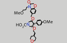 COCCCN1C(=O)COc2ccc(CO[C@H]3CN(C(=O)O)C[C@@H](OCC=C4CCOCC4)[C@@H]3c3ccc(OC)cc3)cc21